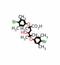 Cc1cc(OC(C)(CC(O)C(C)(C)Oc2cc(C)c(Br)c(C)c2)C(=O)O)cc(C)c1Br